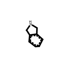 [c]1ccc2c(c1)CN[CH]2